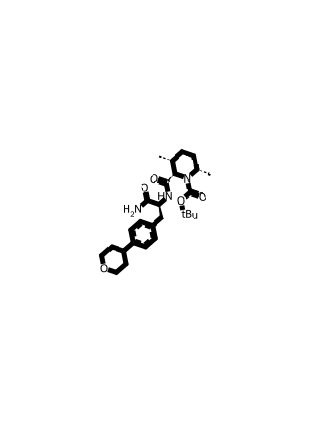 C[C@@H]1CC[C@H](C)N(C(=O)OC(C)(C)C)[C@@H]1C(=O)N[C@@H](Cc1ccc(C2CCOCC2)cc1)C(N)=O